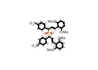 COc1cccc(OC)c1C=CC(c1ccc([N+](=O)[O-])cc1)S(=O)(=O)C(C=Cc1c(OC)cccc1OC)c1ccc([N+](=O)[O-])cc1